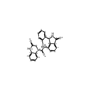 Cc1ccccc1C1NC(=O)c2cccc(NC(=O)N3CC(=O)Nc4ccccc43)c21